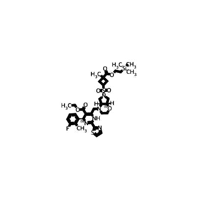 CCOC(=O)C1=C(CN2CCO[C@H]3CN(S(=O)(=O)C4CC(C)(C(=O)OCC[Si](C)(C)C)C4)C[C@@H]32)NC(c2nccs2)=N[C@H]1c1cccc(F)c1C